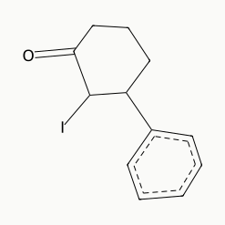 O=C1CCCC(c2ccccc2)C1I